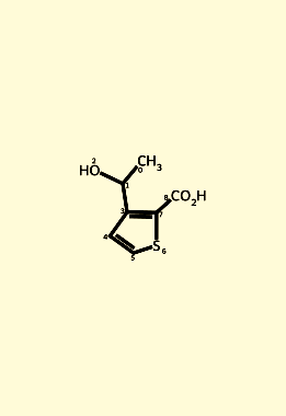 CC(O)c1ccsc1C(=O)O